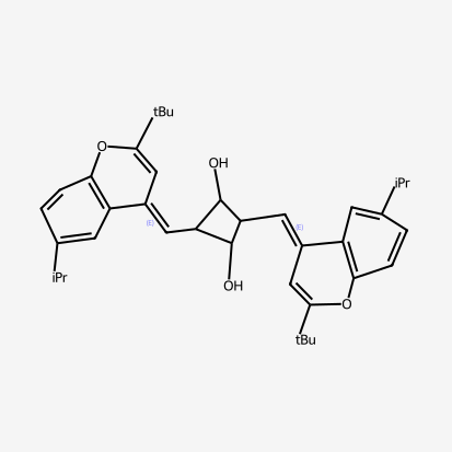 CC(C)c1ccc2c(c1)/C(=C/C1C(O)C(/C=C3\C=C(C(C)(C)C)Oc4ccc(C(C)C)cc43)C1O)C=C(C(C)(C)C)O2